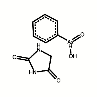 O=C1CNC(=O)N1.O=[AsH](O)c1ccccc1